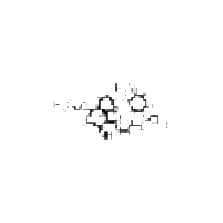 CCOC(=O)c1cccc2sc(/N=C\CCN(C)[C@H]3CC[C@H](N)CC3)c(C(=N)Cl)c12